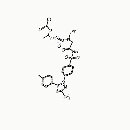 CCC(=O)OC(C)O/N=[N+](\[O-])N(CC(=O)NS(=O)(=O)c1ccc(-n2nc(C(F)(F)F)cc2-c2ccc(C)cc2)cc1)C(C)C